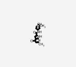 Cc1cc(Cl)c2cc(C(=O)N[C@H]3CC[Si](C)(C)C3)[nH]c2n1